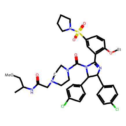 CCOc1ccc(S(=O)(=O)N2CCCC2)cc1C1=NC(c2ccc(Cl)cc2)C(c2ccc(Cl)cc2)N1C(=O)N1CCN(CC(=O)NC(C)COC)CC1